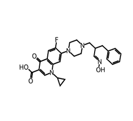 O=C(O)c1cn(C2CC2)c2cc(N3CCN(CC(C=NO)Cc4ccccc4)CC3)c(F)cc2c1=O